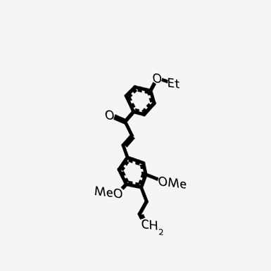 C=CCc1c(OC)cc(/C=C/C(=O)c2ccc(OCC)cc2)cc1OC